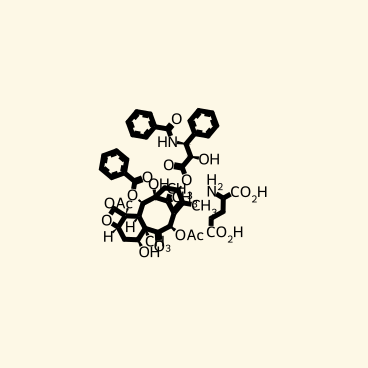 CC(=O)O[C@H]1C(=O)[C@@]2(C)[C@H]([C@H](OC(=O)c3ccccc3)[C@]3(O)C[C@H](OC(=O)[C@H](O)[C@@H](NC(=O)c4ccccc4)c4ccccc4)C(C)=C1C3(C)C)[C@]1(OC(C)=O)CO[C@@H]1C[C@@H]2O.NC(CCC(=O)O)C(=O)O